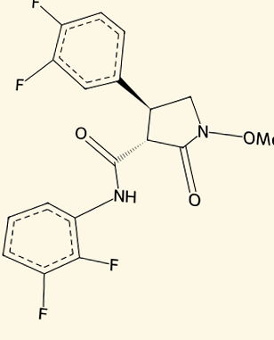 CON1C[C@H](c2ccc(F)c(F)c2)[C@@H](C(=O)Nc2cccc(F)c2F)C1=O